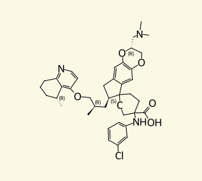 C[C@@H](COc1ccnc2c1[C@H](C)CCC2)C[C@H]1Cc2cc3c(cc2C12CCC(Nc1cccc(Cl)c1)(C(=O)O)CC2)OC[C@@H](CN(C)C)O3